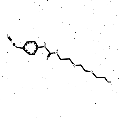 NCCOCCOCCNC(=S)Nc1ccc(N=C=S)cc1